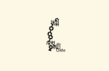 COC(=O)N[C@H](C(=O)N1CC2(CC2)C[C@H]1c1ncc(-c2ccc3cc(-c4ccc(-c5cnc([C@@H]6CCCN6)[nH]5)cc4)ccc3c2)[nH]1)C(C)C